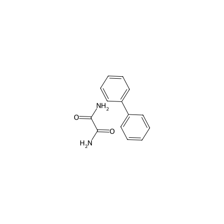 NC(=O)C(N)=O.c1ccc(-c2ccccc2)cc1